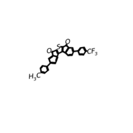 Cc1ccc(-c2ccc3c(c2)c(=O)c2sc4c(=O)c5cc(-c6ccc(C(F)(F)F)cc6)ccc5c4c23)cc1